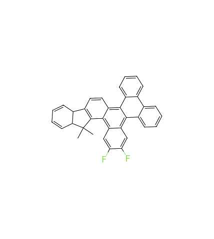 CC1(C)c2c(ccc3c2c2cc(F)c(F)cc2c2c4ccccc4c4ccccc4c32)C2C=CC=CC21